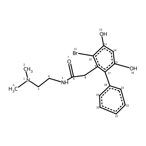 CN(C)CCNC(=O)Cc1c(Br)c(O)cc(O)c1-c1ccccc1